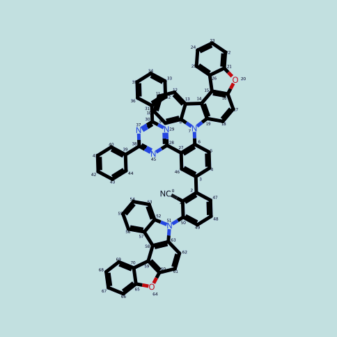 N#Cc1c(-c2ccc(-n3c4ccccc4c4c5c(ccc43)oc3ccccc35)c(-c3nc(-c4ccccc4)nc(-c4ccccc4)n3)c2)cccc1-n1c2ccccc2c2c3c(ccc21)oc1ccccc13